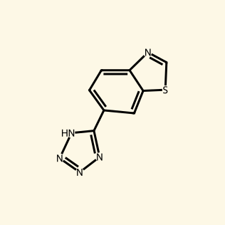 c1nc2ccc(-c3nnn[nH]3)cc2s1